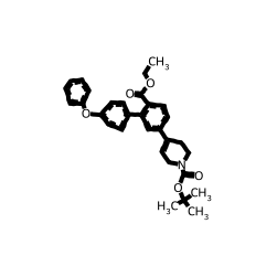 CCOC(=O)c1ccc(C2=CCN(C(=O)OC(C)(C)C)CC2)cc1-c1ccc(Oc2ccccc2)cc1